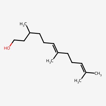 CC(C)=CCC/C(C)=C/CCC(C)CCO